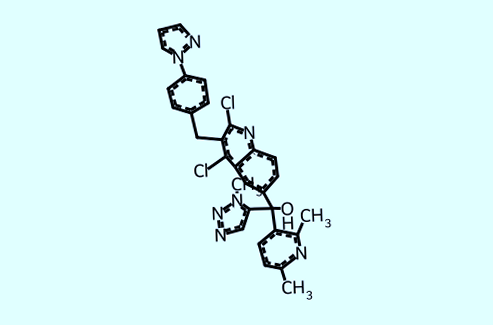 Cc1ccc(C(O)(c2ccc3nc(Cl)c(Cc4ccc(-n5cccn5)cc4)c(Cl)c3c2)c2cnnn2C)c(C)n1